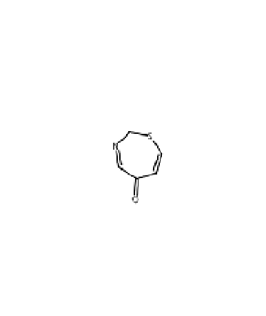 O=C1C=CSCN=C1